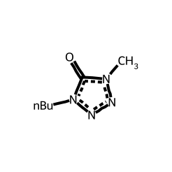 CCCCn1nnn(C)c1=O